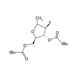 CC1O[C@H](COC(=O)C(C)(C)C)[C@@H](OC(=O)C(C)(C)C)[C@@H]1F